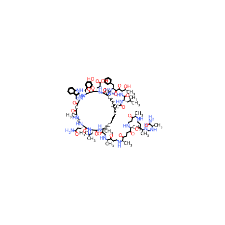 CC(=O)N[C@@H](CC(C)C)C(=O)N[C@H](C(=O)C(=O)[C@H](Cc1ccccc1)NN[C@]1(C)CCCCCC/C=C/CCC[C@@](C)(C(=O)CN[C@@H](C)C(=O)CCN[C@@H](C)C(=O)CCC(=O)[C@H](C)NCCC(=O)[C@H](C)NCCC(=O)[C@H](C)NCN[C@H](C)C(N)=O)NC(=O)[C@H](CC(C)C)NC(=O)[C@H](CCC(N)=O)NCN[C@@H](C)C(=O)CC(=O)[C@H](Cc2c[nH]c3ccccc23)NN[C@@H](Cc2ccc(O)cc2)C(=O)C(=O)[C@H](CCC(=O)O)NC1=O)[C@@H](C)O